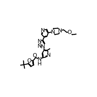 CCOCCN1CCN(c2cncc(-c3cn(-c4cc(NC(=O)c5ccc(C(C)(C)C)o5)cnc4C)nn3)c2)CC1